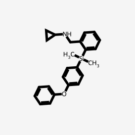 C[Si](C)(c1ccc(Oc2ccccc2)cc1)c1ccccc1CNC1CC1